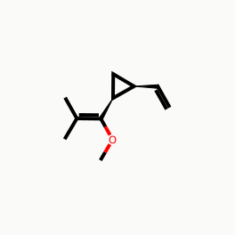 C=C[C@@H]1C[C@@H]1C(OC)=C(C)C